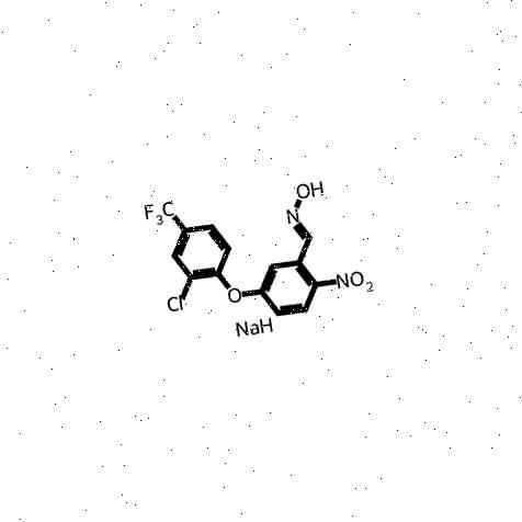 O=[N+]([O-])c1ccc(Oc2ccc(C(F)(F)F)cc2Cl)cc1C=NO.[NaH]